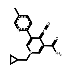 Cc1ccc(C2=CN(CC3CC3)C=C(C(N)=O)C2=C=O)nc1